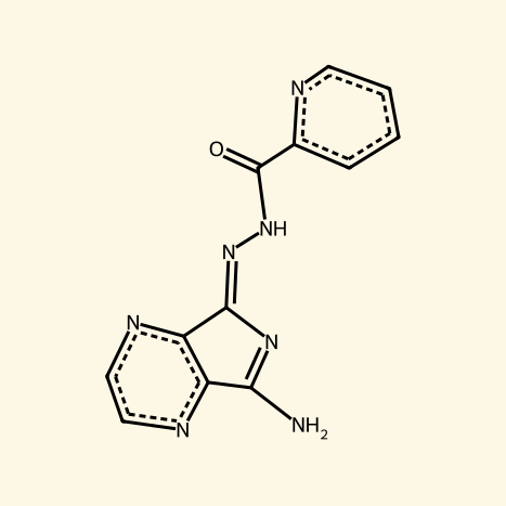 NC1=N/C(=N\NC(=O)c2ccccn2)c2nccnc21